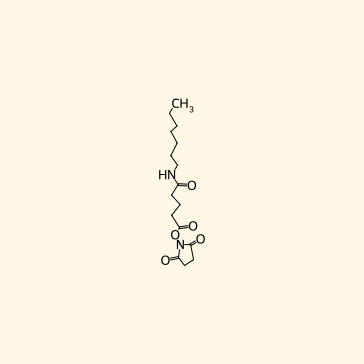 CCCCCCCNC(=O)CCCC(=O)ON1C(=O)CCC1=O